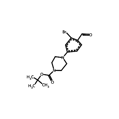 CC(C)(C)OC(=O)N1CCN(c2ccc(C=O)c(Br)c2)CC1